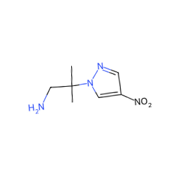 CC(C)(CN)n1cc([N+](=O)[O-])cn1